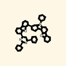 c1ccc(-c2cc(-c3cccc4c3oc3c(-c5ccc6c7c8oc9ccccc9c8ccc7n(-c7ccccc7)c6c5)cccc34)nc(-c3ccccc3)n2)cc1